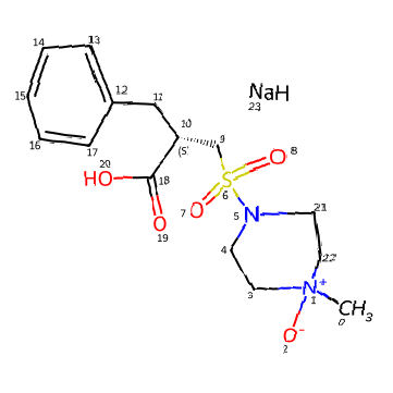 C[N+]1([O-])CCN(S(=O)(=O)C[C@@H](Cc2ccccc2)C(=O)O)CC1.[NaH]